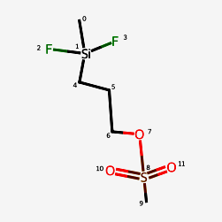 C[Si](F)(F)CCCOS(C)(=O)=O